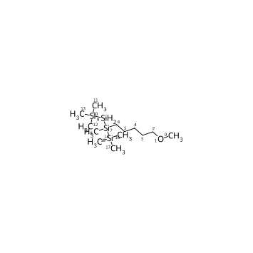 COCCCCC[Si](C)([SiH2][Si](C)(C)C)[Si](C)(C)C